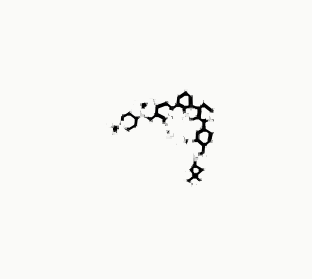 COc1cc(-c2nccc(-c3cccc(-c4ccc(CN(C(=O)O)C5CCN(C(C)=O)CC5)c(OC)n4)c3Cl)c2Cl)ccc1CNC1CC2(COC2)C1